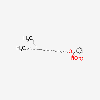 CCCCC(CCCC)CCCCCCCCCCCOC(=O)c1ccccc1C(=O)O